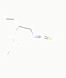 CC[C@H](CN=C=S)SSC